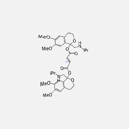 COc1cc2c(cc1OC)C(CNC(C)C)(OC(=O)/C=C/C(=O)OC1(CNC(C)C)OCCc3cc(OC)c(OC)cc31)OCC2